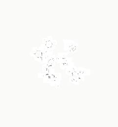 CCC(=O)N[C@H]1C[C@@H](n2cnc3c(NCC(c4ccccc4)c4ccccc4)nc(N4CC[C@@H](NC(=O)NCc5cccc(O)c5)C4)nc32)[C@H](O)[C@@H]1O.O=C(O)C(F)(F)F